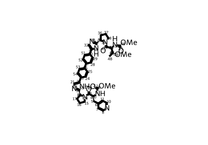 COC(=O)N[C@@H](Cc1ccncc1)C(=O)N1CCC[C@H]1c1ncc(-c2ccc(-c3ccc(-c4cnc([C@@H]5CCCN5C(=O)[C@@H](NC(=O)OC)[C@@H](C)OC)[nH]4)cc3)cc2)[nH]1